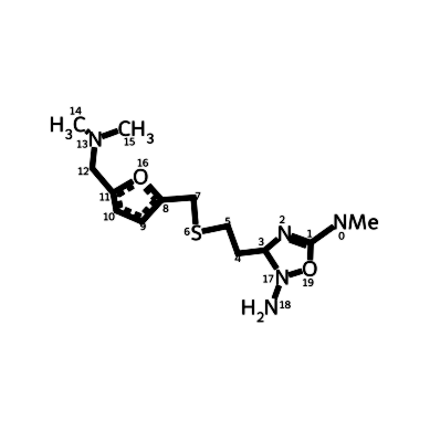 CNC1=NC(CCSCc2ccc(CN(C)C)o2)N(N)O1